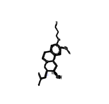 COc1cc2c(cc1OCCCF)CCN1C/C(=C\C(C)C)[C@H](O)CC21